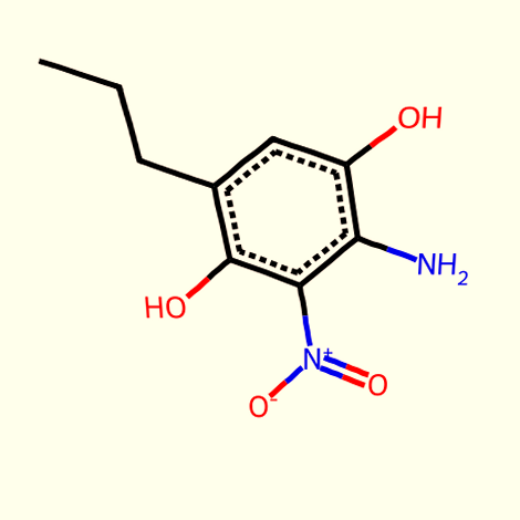 CCCc1cc(O)c(N)c([N+](=O)[O-])c1O